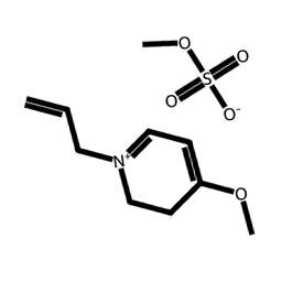 C=CC[N+]1=CC=C(OC)CC1.COS(=O)(=O)[O-]